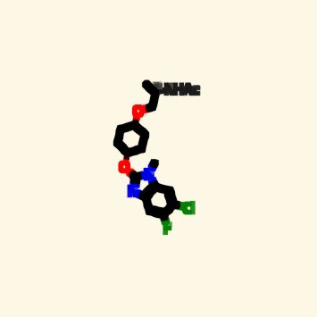 CC(=O)N[C@@H](C)CO[C@H]1CC[C@H](Oc2nc3cc(F)c(Cl)cc3n2C)CC1